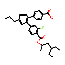 CCCc1ccc(-c2ccc(C(=O)O)cc2)c(-c2ccc(C(=O)O[C@H](C)CC(CC)CC)c(F)c2)c1